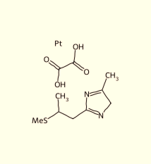 CSC(C)CC1=NCC(C)=N1.O=C(O)C(=O)O.[Pt]